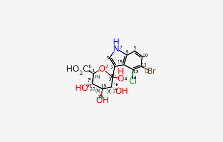 O=C(O)[C@H]1O[C@](O)(c2c[nH]c3ccc(Br)c(Cl)c23)[C@H](O)[C@@H](O)[C@@H]1O